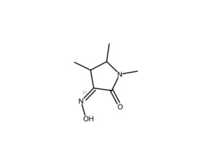 CC1/C(=N/O)C(=O)N(C)C1C